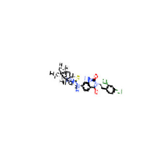 C[C@@H]1[C@@H](NC(=S)Nc2ccc3c(=O)n(CCc4ccc(Cl)cc4Cl)c(=O)[nH]c3c2)C[C@H]2C[C@@H]1C2(C)C